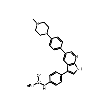 CCCC[S+]([O-])Nc1ccc(-c2c[nH]c3ncc(-c4ccc(N5CCN(C)CC5)cc4)cc23)cc1